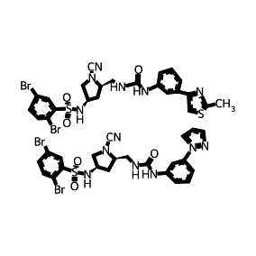 Cc1nc(-c2cccc(NC(=O)NC[C@H]3C[C@@H](NS(=O)(=O)c4cc(Br)ccc4Br)CN3C#N)c2)cs1.N#CN1C[C@H](NS(=O)(=O)c2cc(Br)ccc2Br)C[C@@H]1CNC(=O)Nc1cccc(-n2cccn2)c1